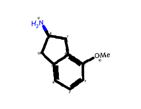 COc1cccc2c1CC(N)C2